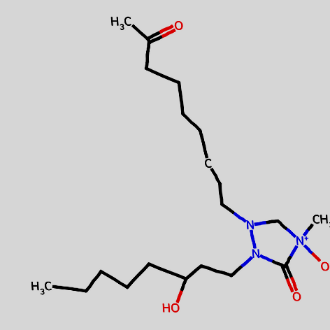 CCCCCC(O)CCN1C(=O)[N+](C)([O-])CN1CCCCCCCC(C)=O